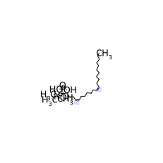 CCCCCCCCCC/C=C\CCCCC/C=C\CCCC(O)(C[N+](C)(C)C)P(=O)(O)O